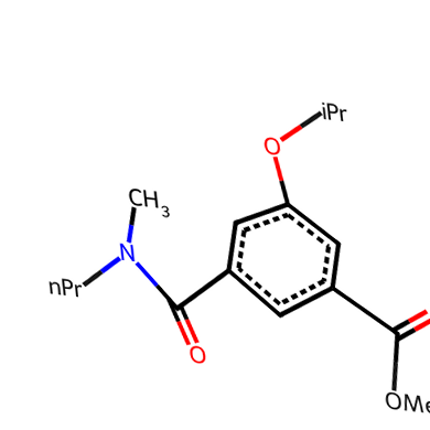 CCCN(C)C(=O)c1cc(OC(C)C)cc(C(=O)OC)c1